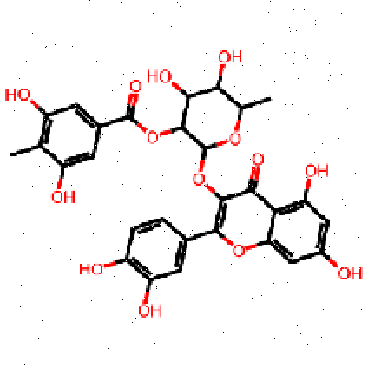 Cc1c(O)cc(C(=O)OC2C(Oc3c(-c4ccc(O)c(O)c4)oc4cc(O)cc(O)c4c3=O)OC(C)C(O)C2O)cc1O